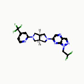 FC(F)Cn1ncc2ncc(N3C[C@H]4CN(c5cc(C(F)(F)F)ccn5)C[C@H]4C3)nc21